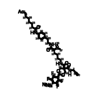 C#CCNC(=O)C1(C(=O)NCCCC[C@@H](C(=O)NCCc2ccc(NC(=O)CCCCCCC(C)=O)cc2)N(C)C)COC(c2c(F)c(F)c(N=[N+]=[N-])c(F)c2F)OC1